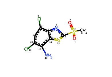 CS(=O)(=O)c1nc2c(Cl)cc(Cl)c(N)c2s1